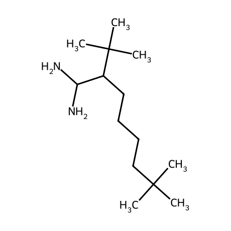 CC(C)(C)CCCCC(C(N)N)C(C)(C)C